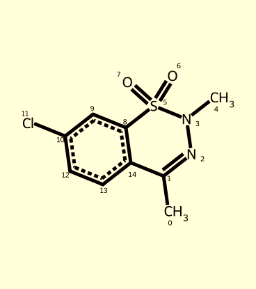 CC1=NN(C)S(=O)(=O)c2cc(Cl)ccc21